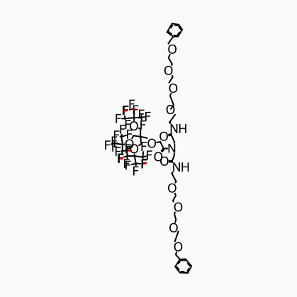 O=C(CN(CC(=O)NCCOCCOCCOCCOCc1ccccc1)C(=O)COCC(COC(C(F)(F)F)(C(F)(F)F)C(F)(F)F)(COC(C(F)(F)F)(C(F)(F)F)C(F)(F)F)COC(C(F)(F)F)(C(F)(F)F)C(F)(F)F)NCCOCCOCCOCCOCc1ccccc1